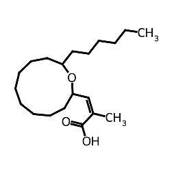 CCCCCCC1CCCCCCCCC(C=C(C)C(=O)O)O1